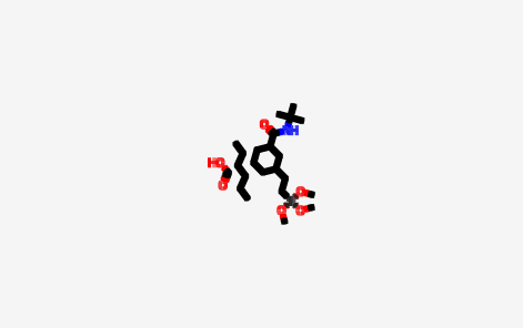 CCCCCC.CO[Si](CCC1CCCC(C(=O)NC(C)(C)C)C1)(OC)OC.O=CO